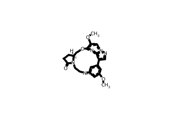 COc1cc2cc(c1)-c1cnn3cc(OC)c(nc13)OC[C@@H]1CCC(=O)N1CCN2